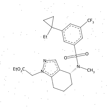 CCOC(=O)Cn1ncc2c1CCC[C@H]2N(C)S(=O)(=O)c1cc(C(F)(F)F)cc(C2(CC)CC2)c1